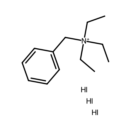 CC[N+](CC)(CC)Cc1ccccc1.I.I.I